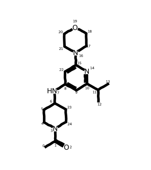 CC(=O)N1CCC(Nc2cc(C(C)C)nc(N3CCOCC3)c2)CC1